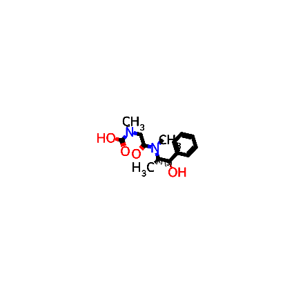 C[C@H]([C@@H](O)c1ccccc1)N(C)C(=O)CN(C)C(=O)O